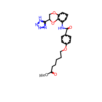 COC(=O)CCCCCOc1ccc(C(=O)Nc2cccc3c2OC(c2nnn[nH]2)CO3)cc1